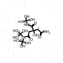 NC(=O)CC(O)(CC(=O)N(C(O)(O)O)C(O)(O)O)C(=O)NC(O)(O)O